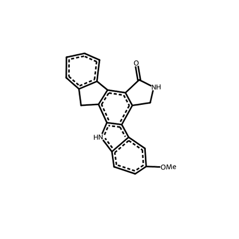 COc1ccc2[nH]c3c4c(c5c(c3c2c1)CNC5=O)-c1ccccc1C4